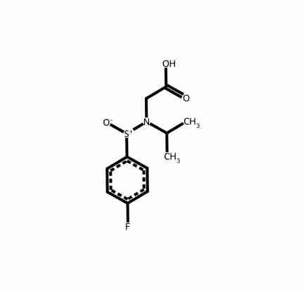 CC(C)N(CC(=O)O)[S+]([O-])c1ccc(F)cc1